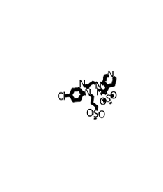 CS(=O)(=O)CCCn1c(Cn2nc(S(C)(=O)=O)c3ccncc32)nc2cc(Cl)ccc21